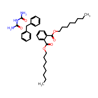 CCCCCCCCOC(=O)c1ccccc1C(=O)OCCCCCCCC.NC(=O)NC(N)=O.c1ccc(Cc2ccccc2)cc1